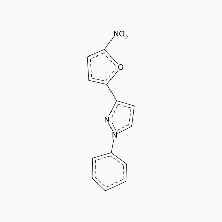 O=[N+]([O-])c1ccc(-c2ccn(-c3ccccc3)n2)o1